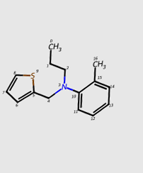 CCCN(Cc1cccs1)c1ccccc1C